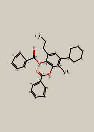 CCCc1cc(C2CCCCC2)c(C)c(OC(=O)c2ccccc2)c1OC(=O)c1ccccc1